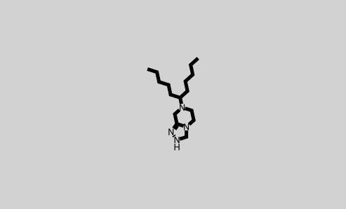 CCCCCC(CCCCC)N1CCN2CNN=C2C1